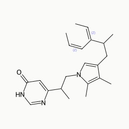 C/C=C\C(=C/C)C(C)Cc1cn(CC(C)c2cc(=O)[nH]cn2)c(C)c1C